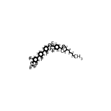 CCCCCC1COC(c2ccc(C(F)(F)Oc3ccc(-c4ccc(-c5cc(F)c(OC(F)F)c(F)c5)c(F)c4)c(F)c3)c(F)c2)OC1